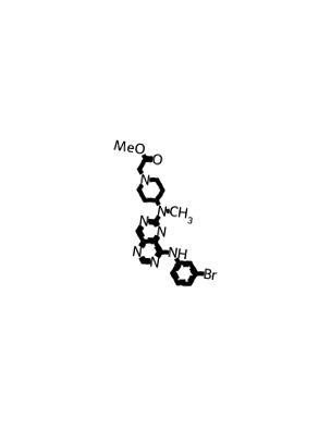 COC(=O)CN1CCC(N(C)c2ncc3ncnc(Nc4cccc(Br)c4)c3n2)CC1